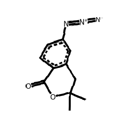 CC1(C)Cc2cc(N=[N+]=[N-])ccc2C(=O)O1